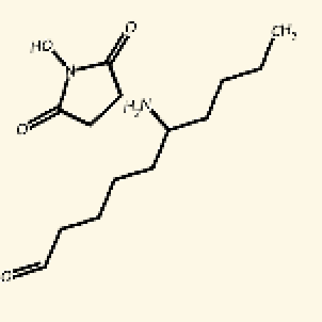 CCCCC(N)CCCCC=O.O=C1CCC(=O)N1O